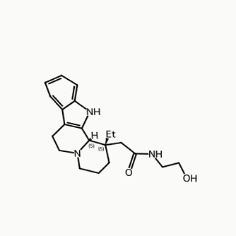 CC[C@@]1(CC(=O)NCCO)CCCN2CCc3c([nH]c4ccccc34)[C@@H]21